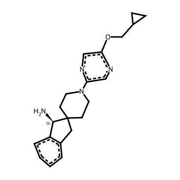 N[C@@H]1c2ccccc2CC12CCN(c1cnc(OCC3CC3)cn1)CC2